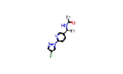 CCC(=O)N[C@@H](CC)c1ccc(-n2cc(F)cn2)nc1